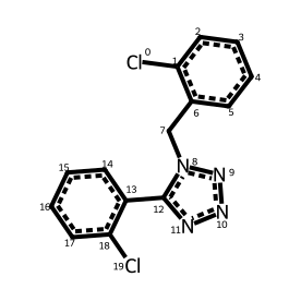 Clc1ccccc1Cn1nnnc1-c1ccccc1Cl